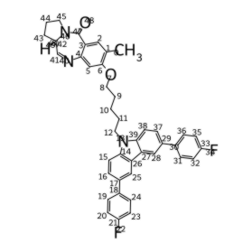 Cc1cc2c(cc1OCCCCCn1c3ccc(-c4ccc(F)cc4)cc3c3cc(-c4ccc(F)cc4)ccc31)N=C[C@@H]1CCCN1C2=O